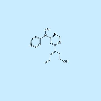 C=C/C=C(\C=C\O)c1cc(N(CCC)c2ccncc2)ncn1